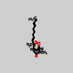 CCCCCCCC=C[C@@]1(C)OO[C@@H]2C[C@H]1CC(=O)[C@@H]2C